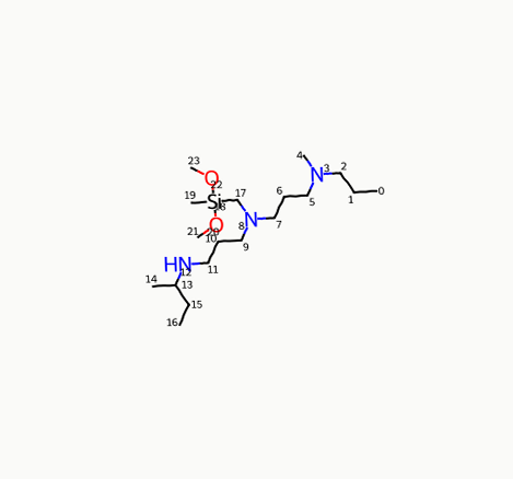 CCCN(C)CCCN(CCCNC(C)CC)C[Si](C)(OC)OC